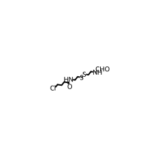 O=CNCCSSCCNC(=O)CCCCl